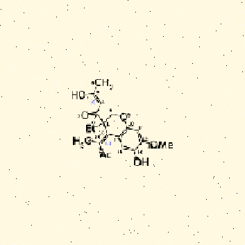 CCC1(C(=O)/C=C(/C)O)COc2cc(OC)c(O)cc2/C1=C(/C)C(C)=O